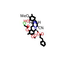 COc1c(C)cc2c(c1O)[C@H]1C3Cc4c(OC(=O)CCl)c(C)c5c(c4[C@H](COC(=O)CCc4ccccc4)N3[C@@H](C#N)[C@H](C2)N1C)OCO5